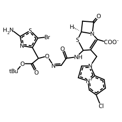 CC(C)(C)OC(=O)C(O/N=C\C(=O)NC1S[C@H]2CC(=O)N2C(C(=O)[O-])=C1Cn1cc[n+]2cc(Cl)ccc12)c1nc(N)sc1Br